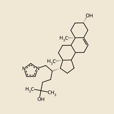 CC(C)(O)CCC(Cn1ccnc1)[C@H]1CCC2C3CC=C4C[C@@H](O)CC[C@]4(C)C3CC[C@@]21C